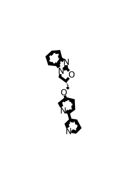 c1cncc(-c2ccc(OC[C@@H]3Cn4c(nc5ccccc54)O3)cn2)c1